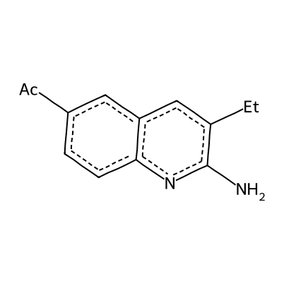 CCc1cc2cc(C(C)=O)ccc2nc1N